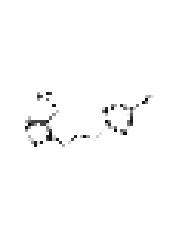 OCc1nccn1CCCc1ccc(Cl)cc1